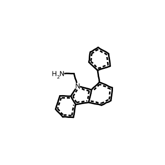 NCn1c2ccccc2c2cccc(-c3ccccc3)c21